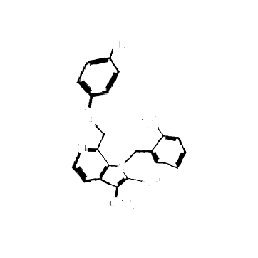 Cc1ccc(OCc2nccc3c(C)c(C)n(Cc4ccccc4C)c23)cc1